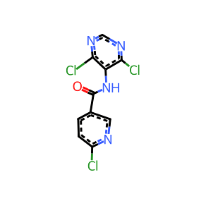 O=C(Nc1c(Cl)ncnc1Cl)c1ccc(Cl)nc1